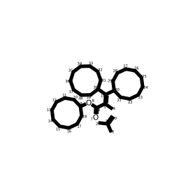 C=C(C)C.CC(C(=O)OC1CCCCCCCCC1)=C(C1CCCCCCCCC1)C1CCCCCCCCC1